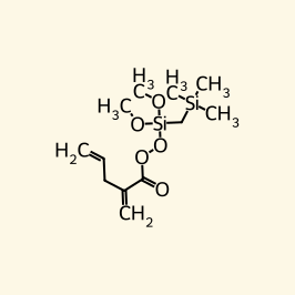 C=CCC(=C)C(=O)OO[Si](C[Si](C)(C)C)(OC)OC